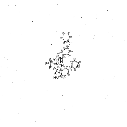 CC(C)(CC(O)(Cc1cc2nc(CN3CCCCC3)ccc2[nH]1)C(F)(F)F)c1cc(-c2cccnc2)ccc1O